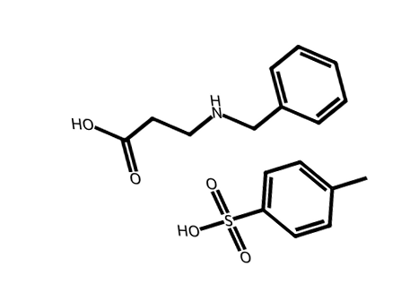 Cc1ccc(S(=O)(=O)O)cc1.O=C(O)CCNCc1ccccc1